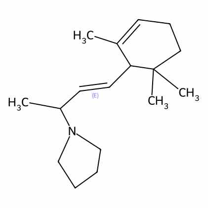 CC1=CCCC(C)(C)C1/C=C/C(C)N1CCCC1